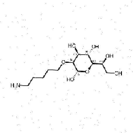 NCCCCCO[C@H]1[C@@H](O)[C@H](O)[C@@H]([C@@H](O)CO)O[C@@H]1O